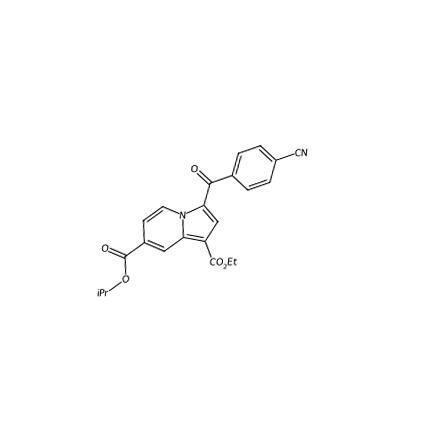 CCOC(=O)c1cc(C(=O)c2ccc(C#N)cc2)n2ccc(C(=O)OC(C)C)cc12